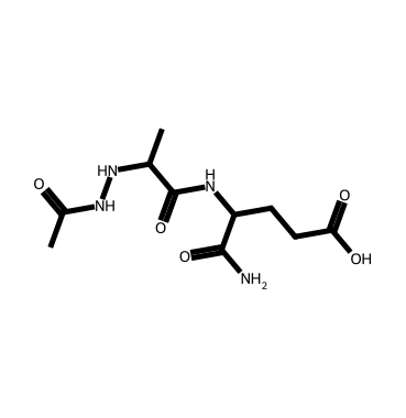 CC(=O)NNC(C)C(=O)NC(CCC(=O)O)C(N)=O